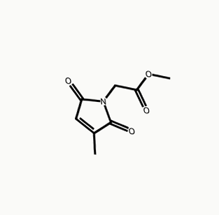 COC(=O)CN1C(=O)C=C(C)C1=O